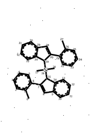 Cc1ccccc1C1=Cc2ccccc2C1[Si](C)(C)C1C(c2ccccc2C)=Cc2ccccc21